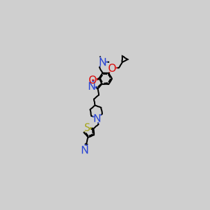 CN(C)Cc1c(OCC2CC2)ccc2c(CCC3CCN(Cc4cc(C#N)cs4)CC3)noc12